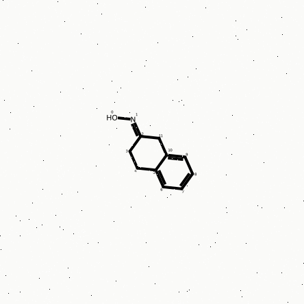 O/N=C1\CCc2ccccc2C1